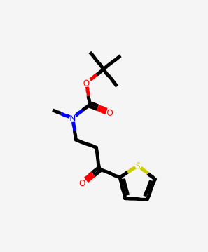 CN(CCC(=O)c1cccs1)C(=O)OC(C)(C)C